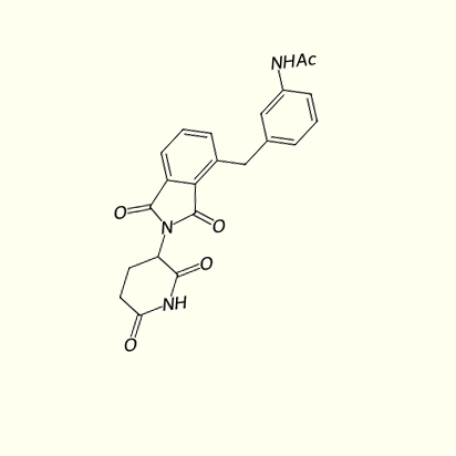 CC(=O)Nc1cccc(Cc2cccc3c2C(=O)N(C2CCC(=O)NC2=O)C3=O)c1